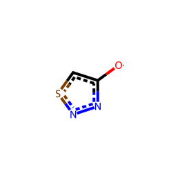 [O]c1csnn1